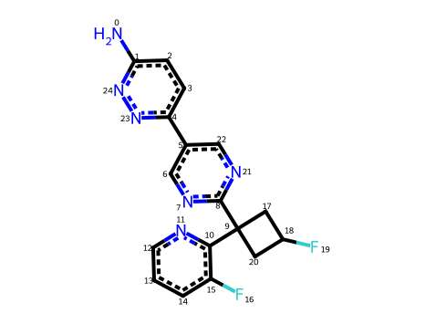 Nc1ccc(-c2cnc(C3(c4ncccc4F)CC(F)C3)nc2)nn1